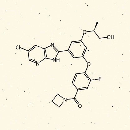 C[C@@H](CO)Oc1cc(Oc2ccc(C(=O)N3CCC3)cc2F)cc(-c2nc3cc(Cl)cnc3[nH]2)c1